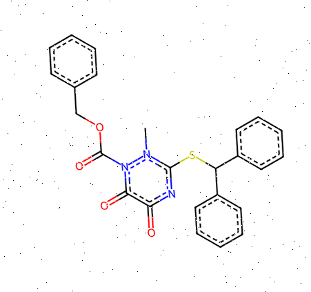 Cn1c(SC(c2ccccc2)c2ccccc2)nc(=O)c(=O)n1C(=O)OCc1ccccc1